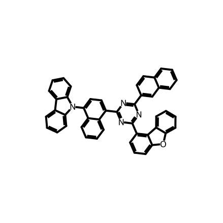 c1ccc2cc(-c3nc(-c4ccc(-n5c6ccccc6c6ccccc65)c5ccccc45)nc(-c4cccc5oc6ccccc6c45)n3)ccc2c1